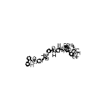 CC(C)(C)[Si](C)(C)OC(CNCCc1ccc(NC(=O)c2cccc(CNC(=O)CCN3CCC(OC(=O)Nc4ccccc4-c4ccccc4)CC3)c2)cc1)c1ccc(O)c2[nH]c(=O)ccc12